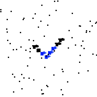 [N-3].[N-3].[N-3].[N-3].[Si].[Ti+4].[Ti+4].[Ti+4]